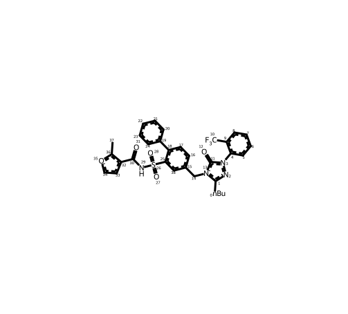 CCCCc1nn(-c2ccccc2C(F)(F)F)c(=O)n1Cc1ccc(-c2ccccc2)c(S(=O)(=O)NC(=O)c2ccoc2C)c1